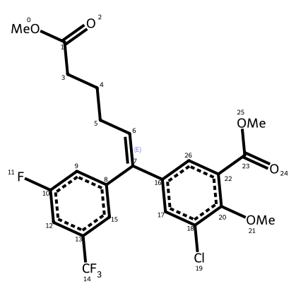 COC(=O)CCC/C=C(\c1cc(F)cc(C(F)(F)F)c1)c1cc(Cl)c(OC)c(C(=O)OC)c1